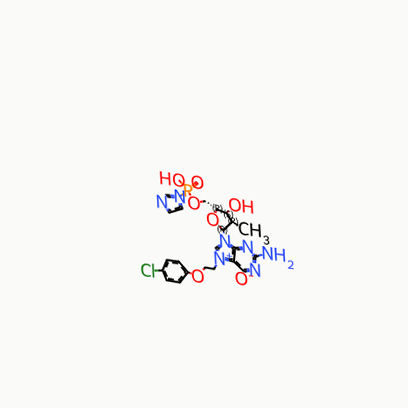 C[C@@H]1[C@H](O)[C@@H](COP(=O)(O)n2ccnc2)O[C@H]1n1c[n+](CCOc2ccc(Cl)cc2)c2c([O-])nc(N)nc21